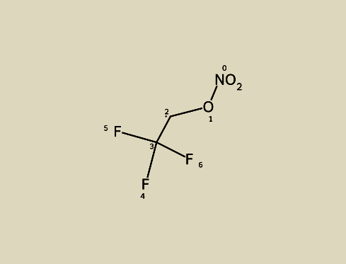 O=[N+]([O-])O[CH]C(F)(F)F